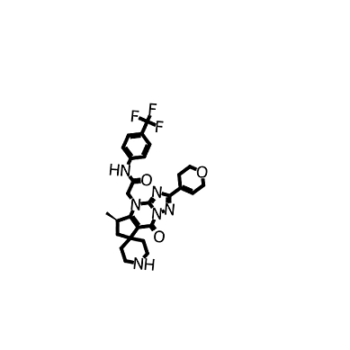 C[C@@H]1CC2(CCNCC2)c2c1n(CC(=O)Nc1ccc(C(F)(F)F)cc1)c1nc(C3=CCOCC3)nn1c2=O